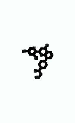 CC(C)(C)OC(=O)N1CCN(c2cccc3c2OC(c2ncc(Cl)cc2Cl)CC3=O)CC1